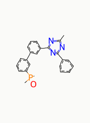 Cc1nc(-c2ccccc2)nc(-c2cccc(-c3cccc(P(C)(C)=O)c3)c2)n1